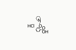 Cl.O=C(O)c1ccccc1OCCN1CCCCC1